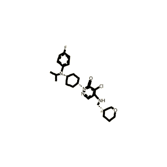 CC(C)N(c1ccc(F)cc1)[C@H]1CC[C@@H](n2ncc(NC[C@H]3CCCOC3)c(Cl)c2=O)CC1